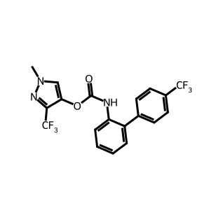 Cn1cc(OC(=O)Nc2ccccc2-c2ccc(C(F)(F)F)cc2)c(C(F)(F)F)n1